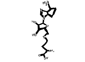 Nc1cccc2c1ncn2C1OC(CSCCC(N)C(=O)O)C(O)C1O